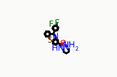 NN1CCCCC1NC(=O)c1ccc2c(c1)N=C(c1ccc(F)c(F)c1)c1ccccc1S2